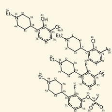 CCN1CCC(c2cccc(C(C)=O)c2Cl)CC1.CCN1CCC(c2cccc(C(C)=O)c2F)CC1.CCN1CCC(c2cccc(C(F)(F)F)c2O)CC1.CCN1CCC(c2cccc(OS(C)(=O)=O)c2F)CC1